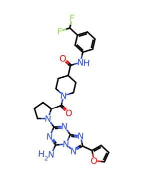 Nc1nc(N2CCC[C@H]2C(=O)N2CCC(C(=O)Nc3cccc(C(F)F)c3)CC2)nc2nc(-c3ccco3)nn12